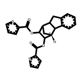 O=C(OC1C2C[C@@H](C1OC(=O)c1cccs1)C1c3ccccc3CC21)c1cccs1